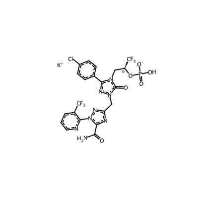 NC(=O)c1nc(Cn2nc(-c3ccc(Cl)cc3)n(C[C@H](OP(=O)([O-])O)C(F)(F)F)c2=O)nn1-c1ncccc1C(F)(F)F.[K+]